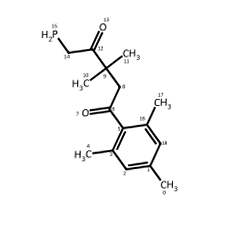 Cc1cc(C)c(C(=O)CC(C)(C)C(=O)CP)c(C)c1